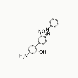 Nc1ccc(-c2ccc(/N=N/c3ccccc3)c([N+](=O)[O-])c2)c(O)c1